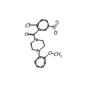 COc1ccccc1N1CCN(C(=O)c2cc([N+](=O)[O-])ccc2Cl)CC1